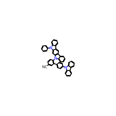 N#Cc1ccc(-n2c3ccccc3c3cc4c5ccccc5n(-c5ccccc5)c4cc32)c(-c2ccc(-n3c4ccccc4c4ccccc43)cc2)c1